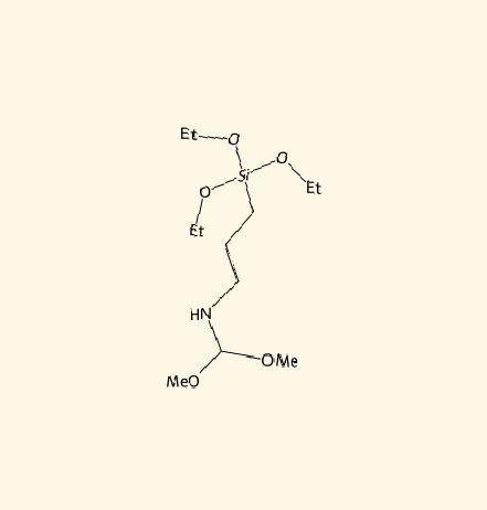 CCO[Si](CCCNC(OC)OC)(OCC)OCC